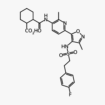 Cc1nc(-c2onc(C)c2NS(=O)(=O)CCc2ccc(F)cc2)ccc1NC(=O)C1CCCCC1C(=O)O